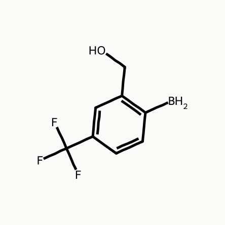 Bc1ccc(C(F)(F)F)cc1CO